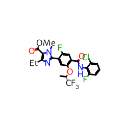 CCc1nc(-c2cc(O[C@@H](C)C(F)(F)F)c(C(=O)Nc3c(F)cccc3Cl)cc2F)n(C)c1C(=O)OC